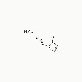 CCCC=CC1CC=CC1=O